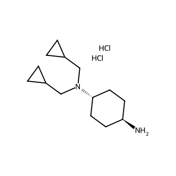 Cl.Cl.N[C@H]1CC[C@H](N(CC2CC2)CC2CC2)CC1